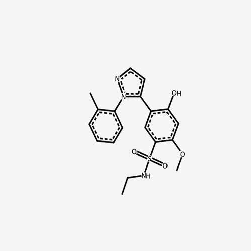 CCNS(=O)(=O)c1cc(-c2ccnn2-c2ccccc2C)c(O)cc1OC